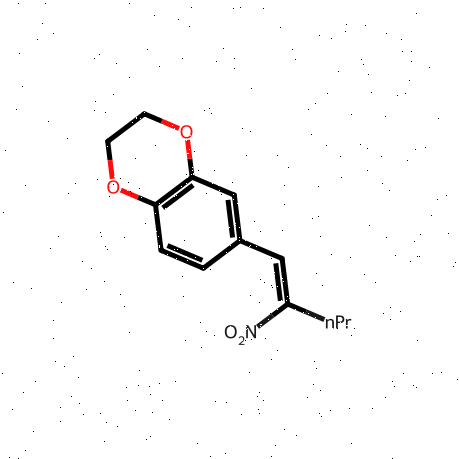 CCCC(=Cc1ccc2c(c1)OCCO2)[N+](=O)[O-]